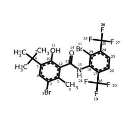 Cc1c(Br)cc(C(C)(C)C)c(O)c1C(=O)Nc1c(C(F)(F)F)ccc(C(F)(F)F)c1Br